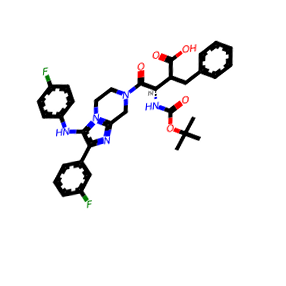 CC(C)(C)OC(=O)N[C@H](C(=O)N1CCn2c(nc(-c3cccc(F)c3)c2Nc2ccc(F)cc2)C1)C(Cc1ccccc1)C(=O)O